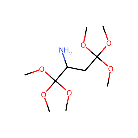 COC(CC(N)C(OC)(OC)OC)(OC)OC